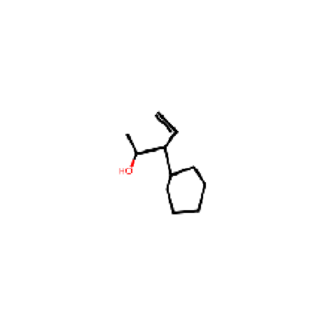 C=CC(C(C)O)C1CCCCC1